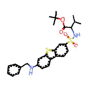 CC(C)C(NS(=O)(=O)c1ccc2c(c1)sc1cc(NCc3ccccc3)ccc12)C(=O)OC(C)(C)C